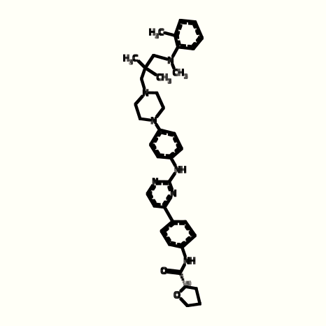 Cc1ccccc1N(C)CC(C)(C)CN1CCN(c2ccc(Nc3nccc(-c4ccc(NC(=O)[C@@H]5CCCO5)cc4)n3)cc2)CC1